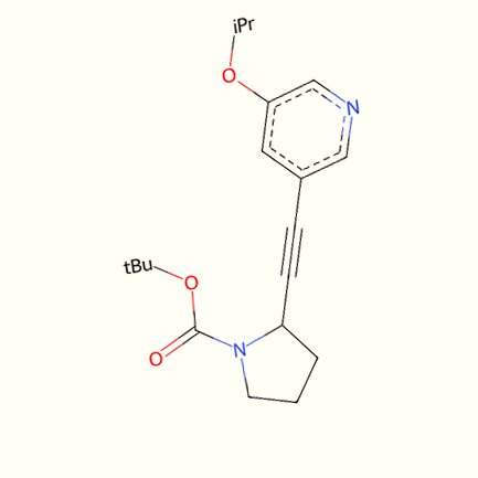 CC(C)Oc1cncc(C#CC2CCCN2C(=O)OC(C)(C)C)c1